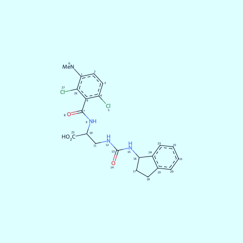 CNc1ccc(Cl)c(C(=O)NC(CNC(=O)NC2CCc3ccccc32)C(=O)O)c1Cl